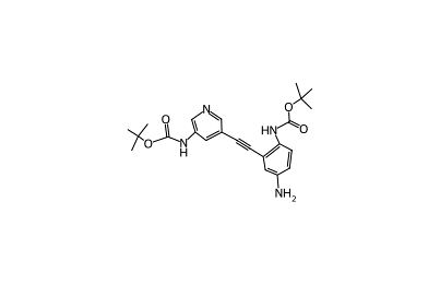 CC(C)(C)OC(=O)Nc1cncc(C#Cc2cc(N)ccc2NC(=O)OC(C)(C)C)c1